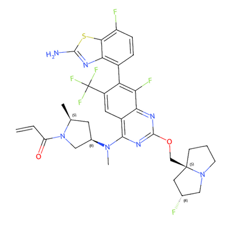 C=CC(=O)N1C[C@H](N(C)c2nc(OC[C@@]34CCCN3C[C@H](F)C4)nc3c(F)c(-c4ccc(F)c5sc(N)nc45)c(C(F)(F)F)cc23)C[C@@H]1C